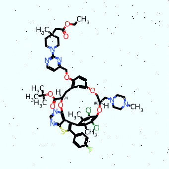 CCOC(=O)CC1(C)CCN(c2nccc(COc3ccc4cc3C[C@H](C(=O)OC(C)(C)C)Oc3ncnc5sc(-c6ccc(F)cc6)c(c35)-c3c(C)c(Cl)c(c(Cl)c3C)O[C@H](CN3CCN(C)CC3)CO4)n2)CC1